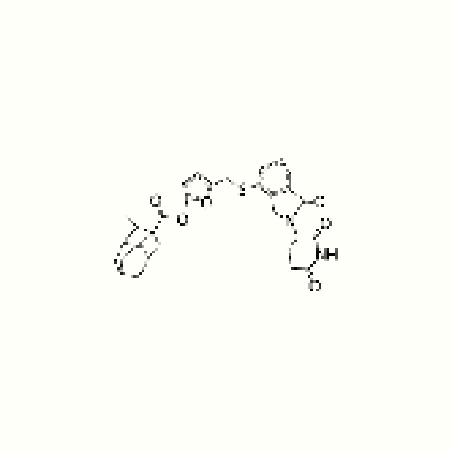 CC1C2CC3CC(C2)CC1(C(=O)Oc1ccc(CSc2cccc4c2CN(C2CCC(=O)NC2=O)C4=O)o1)C3